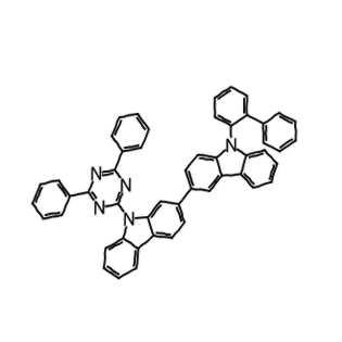 c1ccc(-c2nc(-c3ccccc3)nc(-n3c4ccccc4c4ccc(-c5ccc6c(c5)c5ccccc5n6-c5ccccc5-c5ccccc5)cc43)n2)cc1